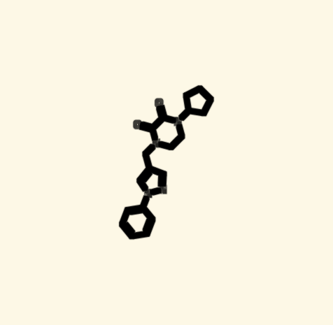 O=C1C(=O)N(C2CCCC2)CCN1Cc1cnn(-c2ccccc2)c1